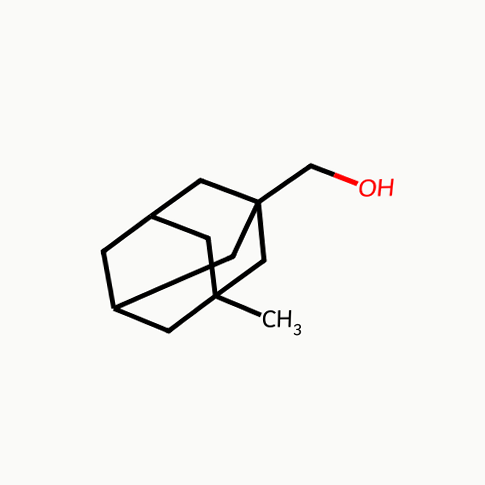 CC12CC3CC(C1)CC(CO)(C3)C2